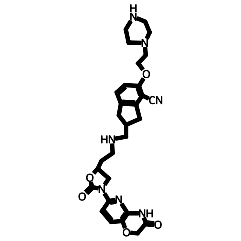 N#Cc1c(OCCN2CCNCC2)ccc2c1CC(CNCCC1CN(c3ccc4c(n3)NC(=O)CO4)C(=O)O1)C2